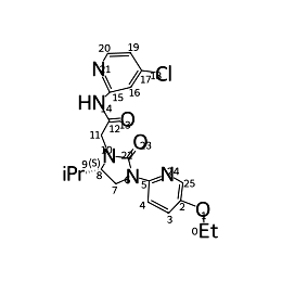 CCOc1ccc(N2C[C@H](C(C)C)N(CC(=O)Nc3cc(Cl)ccn3)C2=O)nc1